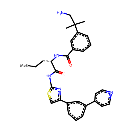 CSCC[C@H](NC(=O)c1cccc(C(C)(C)CN)c1)C(=O)Nc1nc(-c2cccc(-c3ccncc3)c2)cs1